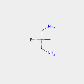 CCC(C)(CN)CN